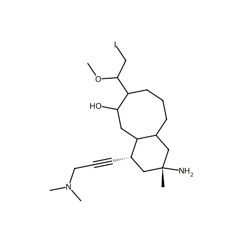 COC(CI)C1CCCC2C[C@](C)(N)C[C@H](C#CCN(C)C)C2CC1O